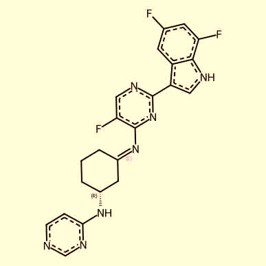 Fc1cc(F)c2[nH]cc(-c3ncc(F)c(/N=C4\CCC[C@@H](Nc5ccncn5)C4)n3)c2c1